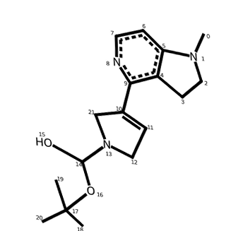 CN1CCc2c1ccnc2C1=CCN(C(O)OC(C)(C)C)C1